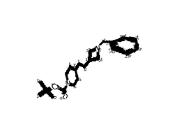 CC(C)(C)OC(=O)N1CCC(CCC2CN(Cc3ccccc3)C2)CC1